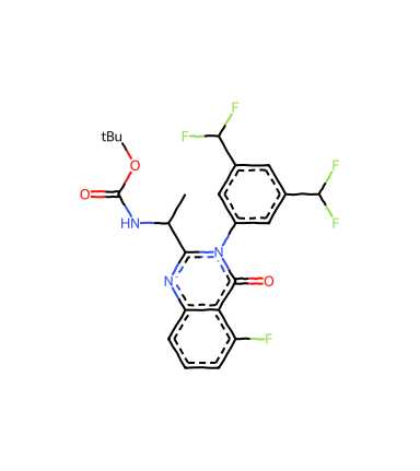 CC(NC(=O)OC(C)(C)C)c1nc2cccc(F)c2c(=O)n1-c1cc(C(F)F)cc(C(F)F)c1